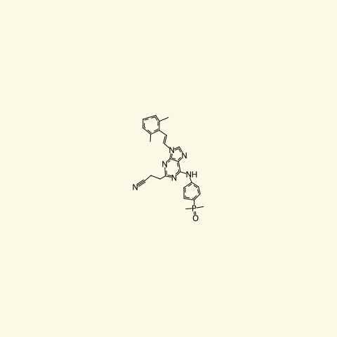 Cc1cccc(C)c1/C=C/n1cnc2c(Nc3ccc(P(C)(C)=O)cc3)nc(CCC#N)nc21